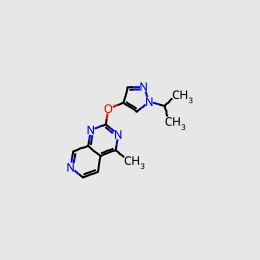 Cc1nc(Oc2cnn(C(C)C)c2)nc2cnccc12